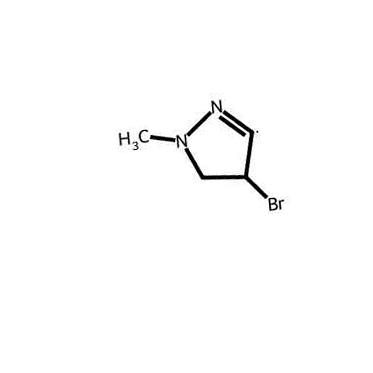 CN1CC(Br)[C]=N1